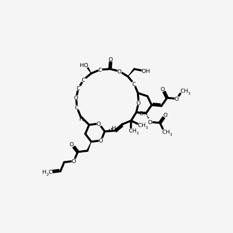 C=CCOC(=O)C[C@H]1C[C@H]2CCOCC[C@@H](O)CC(=O)O[C@@H](CO)CC3C/C(=C\C(=O)OC)[C@H](OC(C)=O)[C@@](O)(O3)C(C)(C)/C=C/[C@H](O2)O1